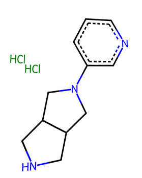 Cl.Cl.c1cncc(N2CC3CNCC3C2)c1